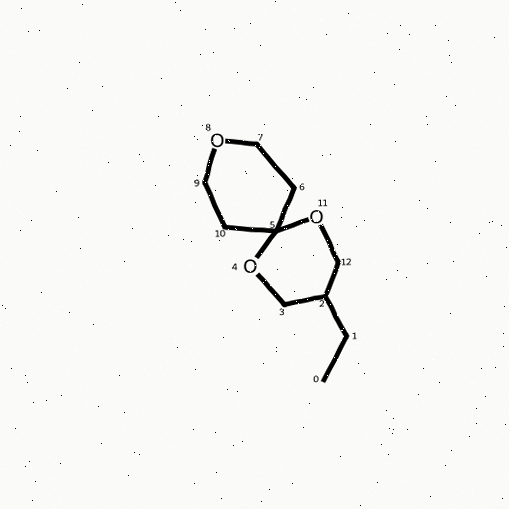 CCC1COC2(CCOCC2)OC1